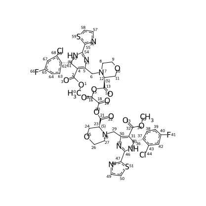 COC(=O)C1=C(CN2CCOC[C@H]2C(=O)OC(=O)C(=O)OC(=O)[C@@H]2COCCN2CC2=C(C(=O)OC)[C@H](c3ccc(F)cc3Cl)NC(c3nccs3)=N2)N=C(c2nccs2)N[C@H]1c1ccc(F)cc1Cl